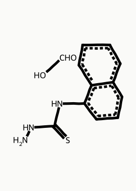 NNC(=S)Nc1cccc2ccccc12.O=CO